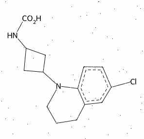 O=C(O)NC1CC(N2CCCc3cc(Cl)ccc32)C1